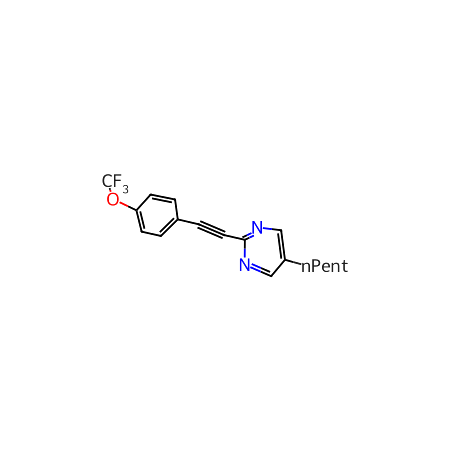 CCCCCc1cnc(C#Cc2ccc(OC(F)(F)F)cc2)nc1